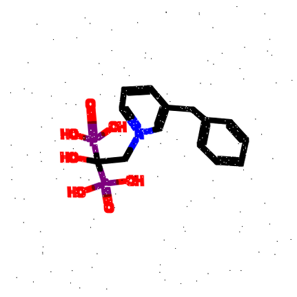 O=P(O)(O)C(O)(C[n+]1cccc(Cc2ccccc2)c1)P(=O)(O)O